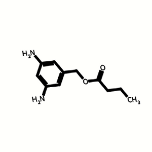 CCCC(=O)OCc1cc(N)cc(N)c1